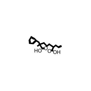 C=CCC(CCCC(C)(Cc1ccccc1)C(=O)O)C(=O)O